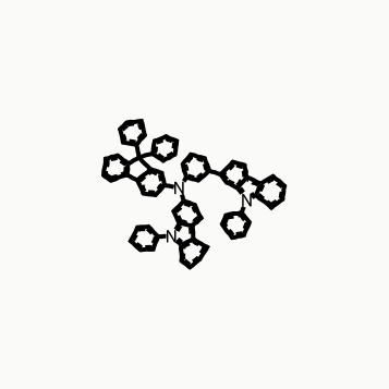 c1ccc(-n2c3ccccc3c3ccc(-c4cccc(N(c5ccc6c(c5)C(c5ccccc5)(c5ccccc5)c5ccccc5-6)c5ccc6c7ccccc7n(-c7ccccc7)c6c5)c4)cc32)cc1